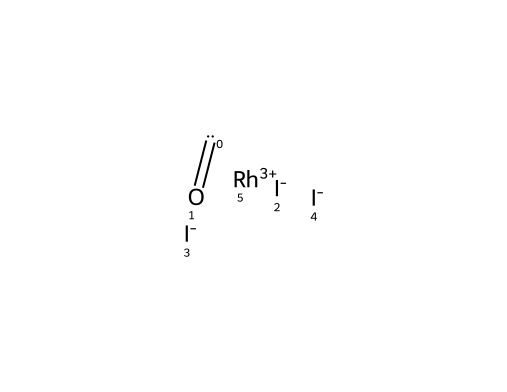 [C]=O.[I-].[I-].[I-].[Rh+3]